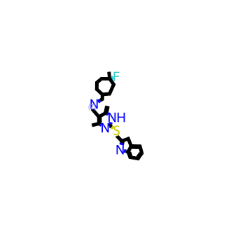 C=C1NC(SCC2=Nc3ccccc3C2)=NC(C)=C1/C=N\CC1CCCC(C)(F)CC1